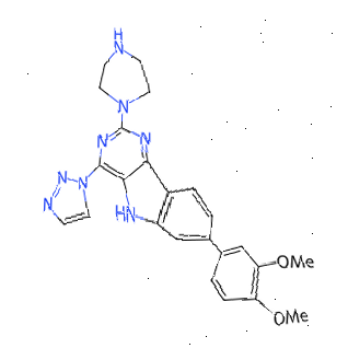 COc1ccc(-c2ccc3c(c2)[nH]c2c(-n4ccnn4)nc(N4CCNCC4)nc23)cc1OC